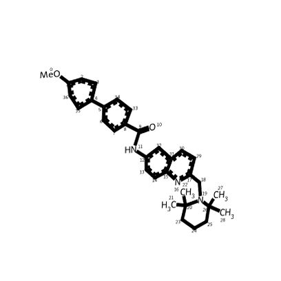 COc1ccc(-c2ccc(C(=O)Nc3ccc4nc(CN5C(C)(C)CCCC5(C)C)ccc4c3)cc2)cc1